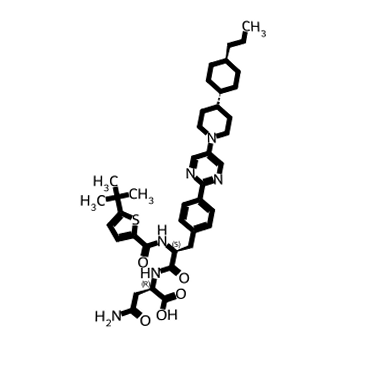 CCC[C@H]1CC[C@H](C2CCN(c3cnc(-c4ccc(C[C@H](NC(=O)c5ccc(C(C)(C)C)s5)C(=O)N[C@H](CC(N)=O)C(=O)O)cc4)nc3)CC2)CC1